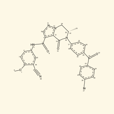 COc1ccc(NC(=O)c2cnn3c2C(=O)N(c2ccc(C(=O)c4ccc(Br)cc4)cc2)[C@@H](C)C3)cc1C#N